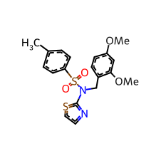 COc1ccc(CN(c2nccs2)S(=O)(=O)c2ccc(C)cc2)c(OC)c1